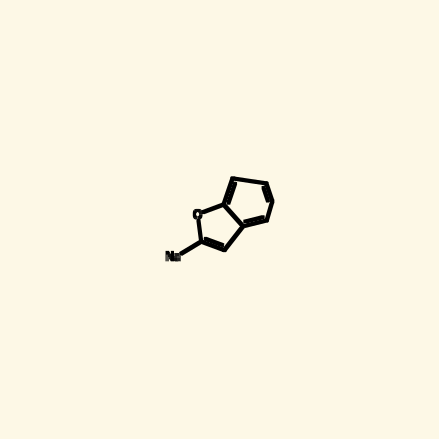 [Na][c]1cc2ccccc2o1